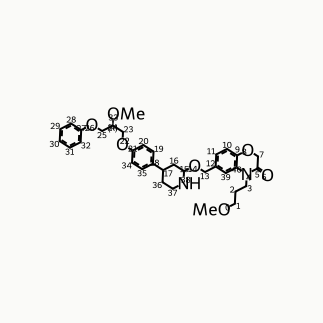 COCCCN1C(=O)COc2ccc(COC3CC(c4ccc(OC[C@@H](COc5ccccc5)OC)cc4)CCN3)cc21